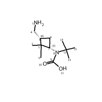 CC1(C)[C@H](CN)C[C@@H]1N(C(=O)O)C(C)(C)C